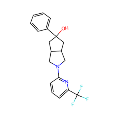 OC1(c2ccccc2)CC2CN(c3cccc(C(F)(F)F)n3)CC2C1